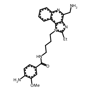 CCc1nc2c(CN)nc3ccccc3c2n1CCCCNC(=O)c1ccc(N)c(OC)c1